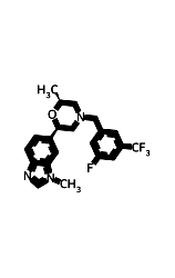 C[C@@H]1CN(Cc2cc(F)cc(C(F)(F)F)c2)C[C@@H](c2ccc3ncn(C)c3c2)O1